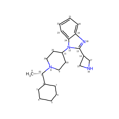 C[C@@H](C1CCCCC1)N1CCC(n2c(C3CNC3)nc3ccccc32)CC1